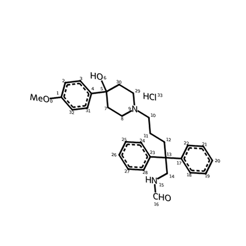 COc1ccc(C2(O)CCN(CCCC(CNC=O)(c3ccccc3)c3ccccc3)CC2)cc1.Cl